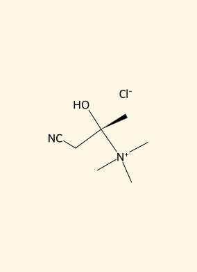 C[C@](O)(CC#N)[N+](C)(C)C.[Cl-]